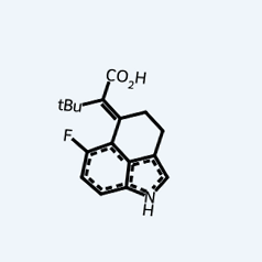 CC(C)(C)/C(C(=O)O)=C1/CCc2c[nH]c3ccc(F)c1c23